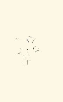 COc1cccc(-c2sc(C)nc2C(=O)N2C[C@@H]3CCC[C@@H]3[C@H]2C(N)=O)c1